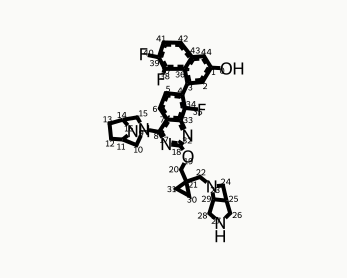 Oc1cc(-c2ccc3c(N4CC5CCC(C4)N5)nc(OCC4(CN5CC6CNCC65)CC4)nc3c2F)c2c(F)c(F)ccc2c1